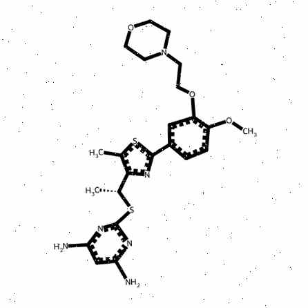 COc1ccc(-c2nc([C@@H](C)Sc3nc(N)cc(N)n3)c(C)s2)cc1OCCN1CCOCC1